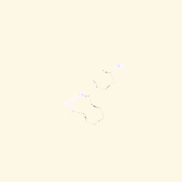 Nc1ccc(C2=NNC(O)c3ccccc32)cc1